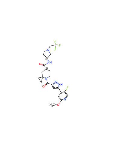 COc1cc(-c2cc(C(=O)N3CC[C@@H](C(=O)N[C@H]4CCN(CC(F)(F)F)C4)CC34CC4)n[nH]2)c(F)cn1